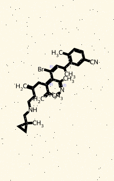 C=C(CCNCC1(C)CC1)C/C(C(=C)C)=C(C(/C)=N\C)\C(Br)=C/C(C)c1cc(C#N)ccc1C